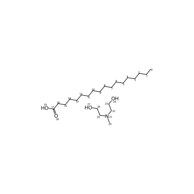 CCCCCCCCCCCCCCCCCC(=O)O.CN(CCO)CCO